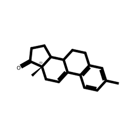 Cc1ccc2c(c1)CCC1C2=CC[C@]2(C)C(=O)CCC12